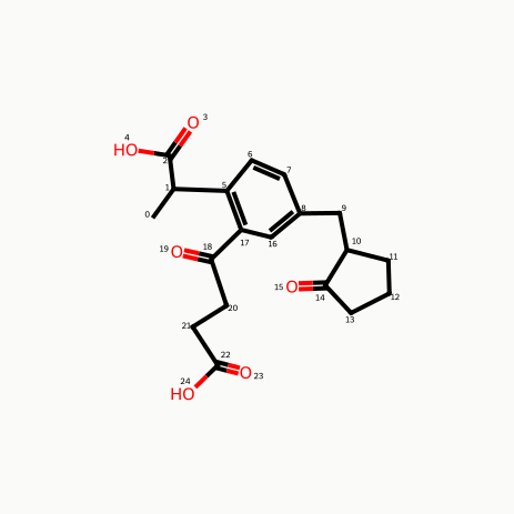 CC(C(=O)O)c1ccc(CC2CCCC2=O)cc1C(=O)CCC(=O)O